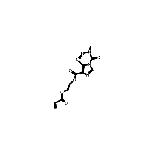 C=CC(=O)OCCOC(=O)c1ncn2c(=O)n(C)nnc12